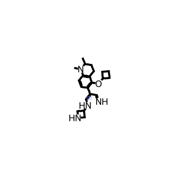 CC1CCc2c(ccc(/C(C=N)=C/NC3CNC3)c2OC2CCC2)N1C